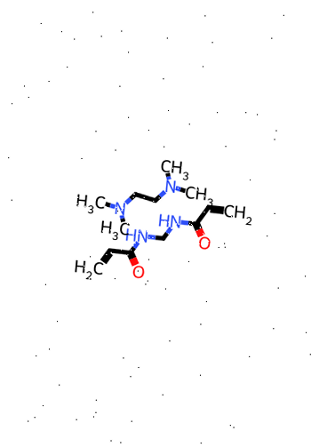 C=CC(=O)NCNC(=O)C=C.CN(C)CCN(C)C